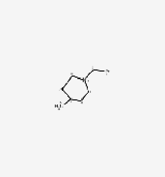 CC(C)CN1CCC(C)CC1